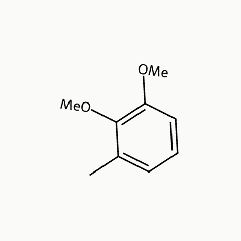 COc1cccc(C)c1OC